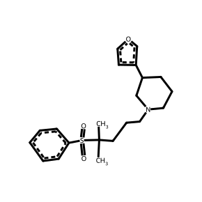 CC(C)(CCCN1CCCC(c2ccoc2)C1)S(=O)(=O)c1ccccc1